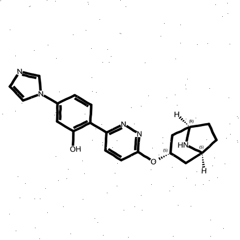 Oc1cc(-n2ccnc2)ccc1-c1ccc(O[C@@H]2C[C@H]3CC[C@@H](C2)N3)nn1